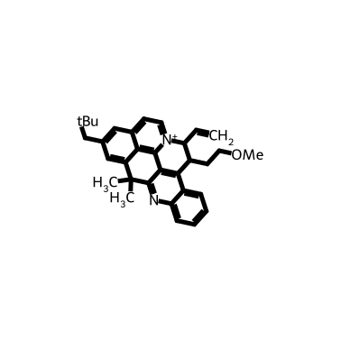 C=CC1C(CCOC)c2c3c(nc4ccccc24)C(C)(C)c2cc(CC(C)(C)C)cc4cc[n+]1c-3c24